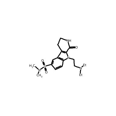 CCN(CC)CCn1c2c(c3cc(S(=O)(=O)N(C)C)ccc31)CCNC2=O